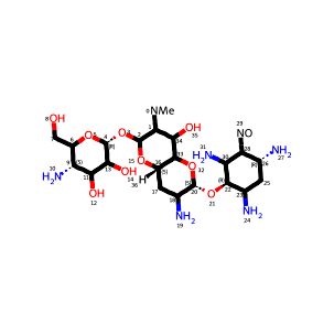 CNC1C(O[C@H]2OC(CO)[C@@H](N)C(O)C2O)O[C@H]2CC(N)[C@@H](O[C@@H]3C(N)C[C@@H](N)C(N=O)C3N)OC2C1O